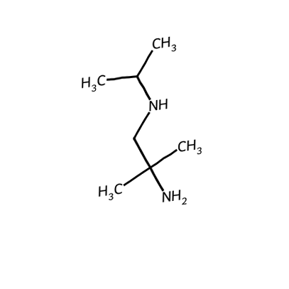 CC(C)NCC(C)(C)N